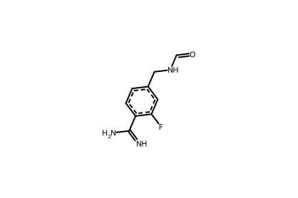 N=C(N)c1ccc(CNC=O)cc1F